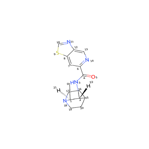 C[C@H]1[C@H](NC(=O)c2cc3scnc3cn2)C2CCN1CC2